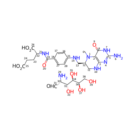 CN1c2c(nc(N)[nH]c2=O)NC[C@H]1CNc1ccc(C(=O)NC(CCC(=O)O)C(=O)O)cc1.N[C@@H](C=O)[C@@H](O)[C@@H](O)[C@H](O)CO